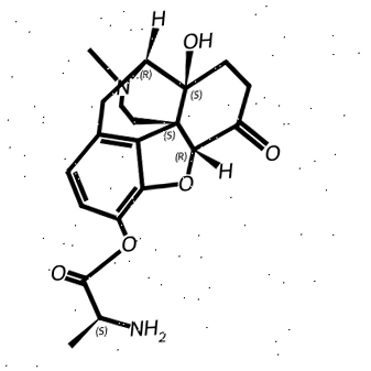 C[C@H](N)C(=O)Oc1ccc2c3c1O[C@H]1C(=O)CC[C@@]4(O)[C@@H](C2)N(C)CC[C@]314